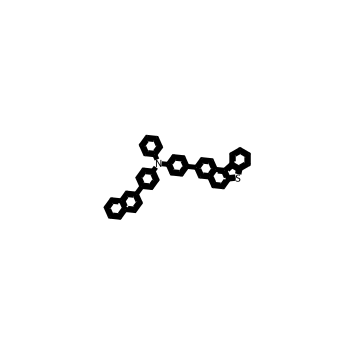 c1ccc(N(c2ccc(-c3ccc4ccccc4c3)cc2)c2ccc(-c3ccc4c(ccc5sc6ccccc6c54)c3)cc2)cc1